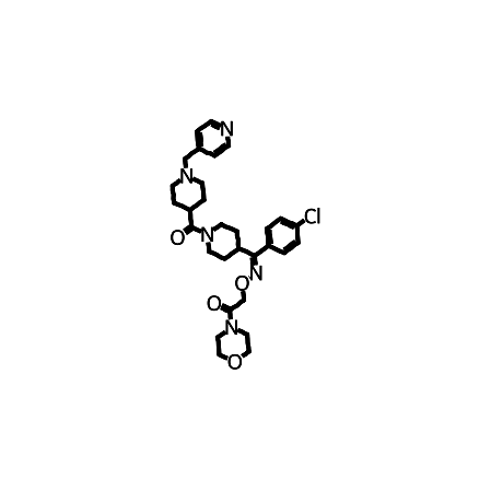 O=C(CON=C(c1ccc(Cl)cc1)C1CCN(C(=O)C2CCN(Cc3ccncc3)CC2)CC1)N1CCOCC1